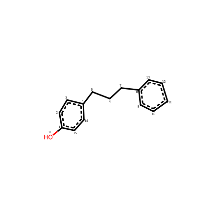 Oc1ccc(CCCc2cc[c]cc2)cc1